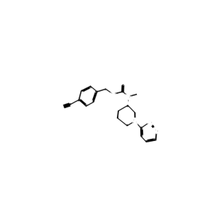 C#Cc1ccc(CNC(=O)N(C)[C@@H]2CCCN(c3cccnn3)C2)cc1